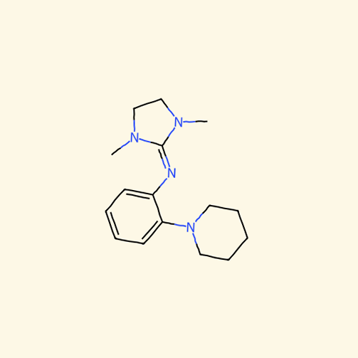 CN1CCN(C)C1=Nc1ccccc1N1CCCCC1